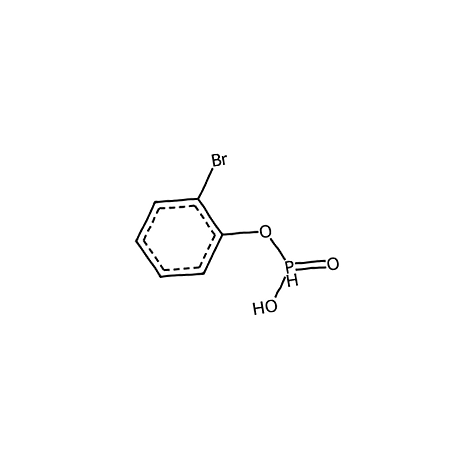 O=[PH](O)Oc1ccccc1Br